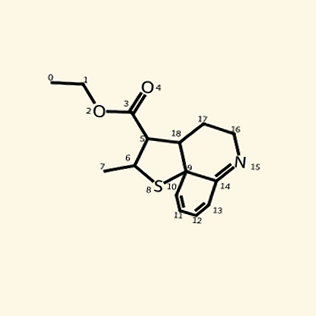 CCOC(=O)C1C(C)SC23C=CC=CC2=NCCC13